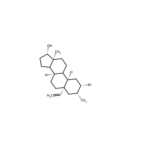 C=C[C@]12CC[C@@H]3C(CC[C@@]4(C)C3CC[C@@H]4O)[C@H]1C[C@H](CC)[C@H](C)C2